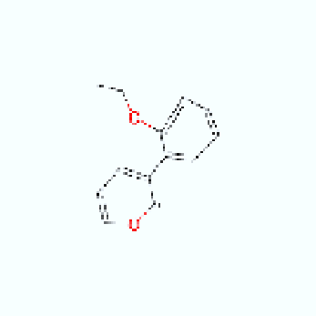 CCOc1ccccc1C1=CC=CO[C]1